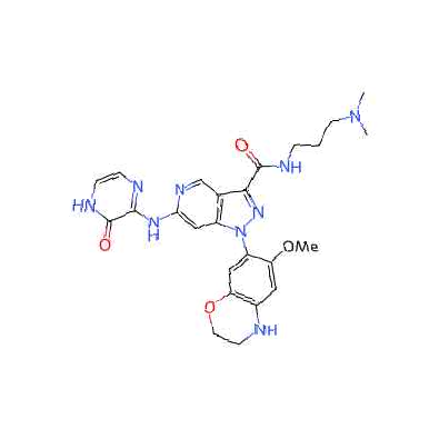 COc1cc2c(cc1-n1nc(C(=O)NCCCN(C)C)c3cnc(Nc4ncc[nH]c4=O)cc31)OCCN2